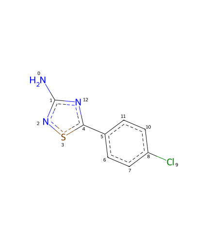 Nc1nsc(-c2ccc(Cl)cc2)n1